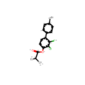 CCCc1ccc(-c2ccc(OC(=O)C(CC)C(F)(F)F)c(F)c2F)cc1